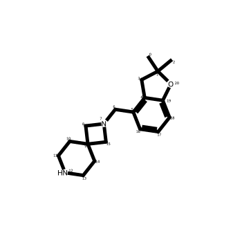 CC1(C)Cc2c(CN3CC4(CCNCC4)C3)cccc2O1